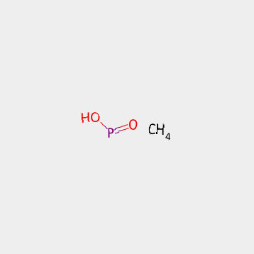 C.O=PO